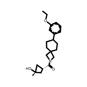 CCOc1cccc(C2CCC3(CC2)CN(C(=O)[C@H]2C[C@@](C)(O)C2)C3)c1